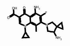 Cc1c(N2CC(N)C3(CC3)C2)c(F)c(N)c2c(=O)c(C(=O)O)cn(C3CC3)c12